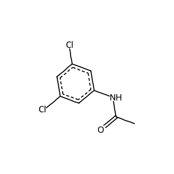 CC(=O)Nc1cc(Cl)cc(Cl)c1